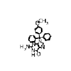 COc1ccc(C(c2ccccc2)(c2ccccc2)n2cnc3c(=O)[nH]c(N)nc32)cc1